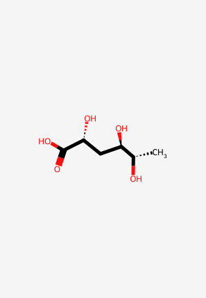 C[C@H](O)[C@H](O)C[C@@H](O)C(=O)O